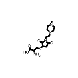 CN1CCN(CCN2C(=O)CC(SCC(N)C(=O)O)C2=O)CC1